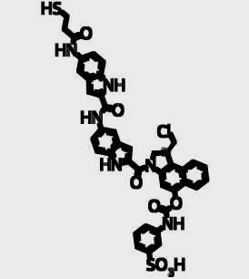 O=C(CCS)Nc1ccc2[nH]c(C(=O)Nc3ccc4[nH]c(C(=O)N5C[C@@H](CCl)c6c5cc(OC(=O)Nc5cccc(S(=O)(=O)O)c5)c5ccccc65)cc4c3)cc2c1